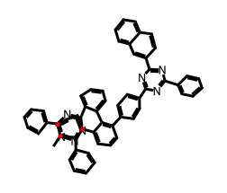 Cc1cccc(-c2cccc(-c3ccc(-c4nc(-c5ccccc5)nc(-c5ccc6ccccc6c5)n4)cc3)c2-c2ccccc2-c2nc(-c3ccccc3)nc(-c3ccccc3)n2)n1